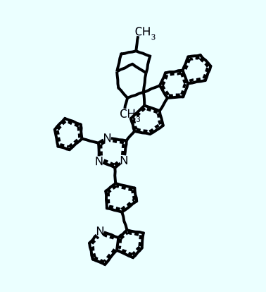 CC1CC2CC(C)C3(c4cc(-c5nc(-c6ccccc6)nc(-c6ccc(-c7cccc8cccnc78)cc6)n5)ccc4-c4cc5ccccc5cc43)C(C1)C2